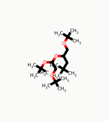 CC(C)(C)CC(COC(C)(C)C)OC(COC(C)(C)C)OC(C)(C)C